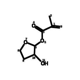 C=C(C)C(=O)OC1OCCC1O